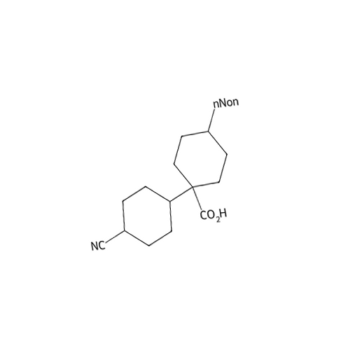 CCCCCCCCCC1CCC(C(=O)O)(C2CCC(C#N)CC2)CC1